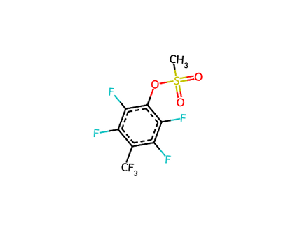 CS(=O)(=O)Oc1c(F)c(F)c(C(F)(F)F)c(F)c1F